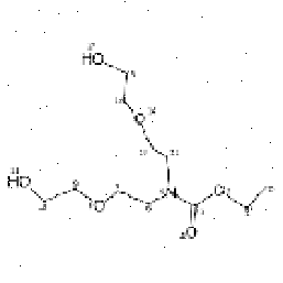 C[CH]OC(=O)N(CCOCCO)CCOCCO